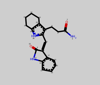 NC(=O)CCc1c(/C=C2\C(=O)Nc3ccccc32)[nH]c2c1CCCC2